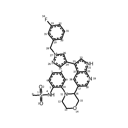 CS(=O)(=O)Nc1ccccc1N1CCOCC1c1cnc2[nH]cc(-c3cnn(Cc4cccc(F)c4)c3)c2c1